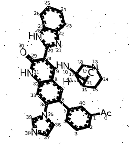 CC(=O)c1cccc(-c2cc3c(N[C@H]4CN5CCC4CC5)c(-c4nc5ccccc5[nH]4)c(=O)[nH]c3cc2-n2ccnc2)c1